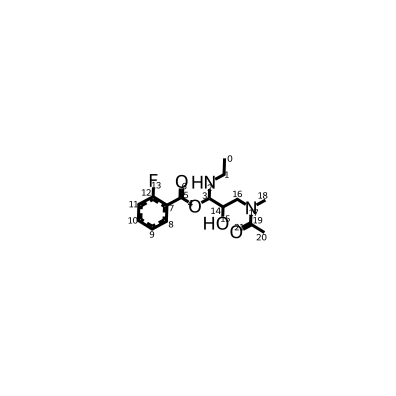 CCNC(OC(=O)c1ccccc1F)C(O)CN(C)C(C)=O